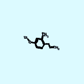 C=CCc1ccc(OCC)cc1C